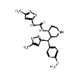 COc1ccc(C(c2cc(C)on2)C2CNCCC2NC(=O)Nc2cc(C)ns2)cc1